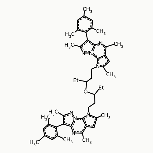 CCC(CCn1c(C)cc2c(C)nc3c(-c4c(C)cc(C)cc4C)c(C)nn3c21)OC(CC)CCn1c(C)cc2c(C)nc3c(-c4c(C)cc(C)cc4C)c(C)nn3c21